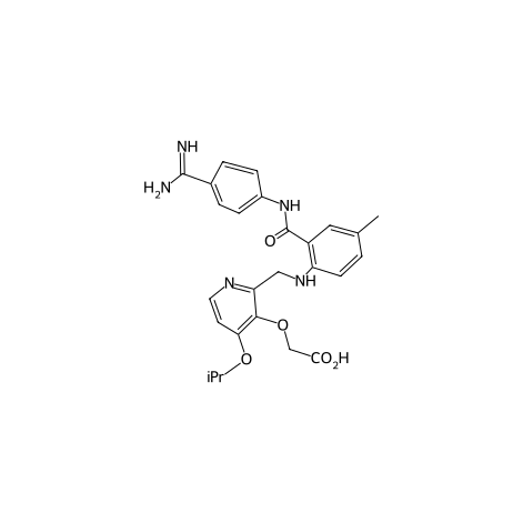 Cc1ccc(NCc2nccc(OC(C)C)c2OCC(=O)O)c(C(=O)Nc2ccc(C(=N)N)cc2)c1